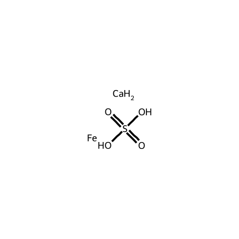 O=S(=O)(O)O.[CaH2].[Fe]